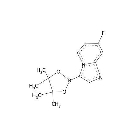 CC1(C)OB(c2cnc3cc(F)ccn23)OC1(C)C